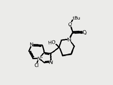 CC(C)(C)OC(=O)N1CCCC(O)(C2=C3C=NC=C[N+]3(Cl)C=N2)C1